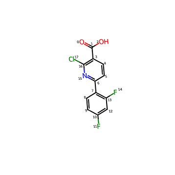 O=C(O)c1ccc(-c2ccc(F)cc2F)nc1Cl